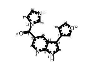 O=C(c1cnc2[nH]cc(-c3ccoc3)c2c1)n1ccnc1